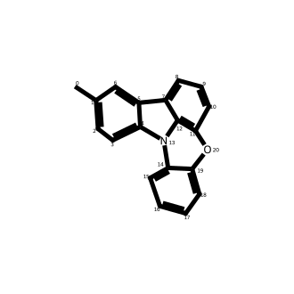 Cc1ccc2c(c1)c1cccc3c1n2-c1ccccc1O3